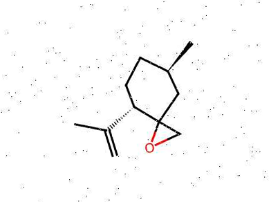 C=C(C)[C@@H]1CC[C@@H](C)CC12CO2